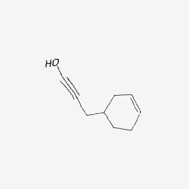 OC#CCC1CC=CCC1